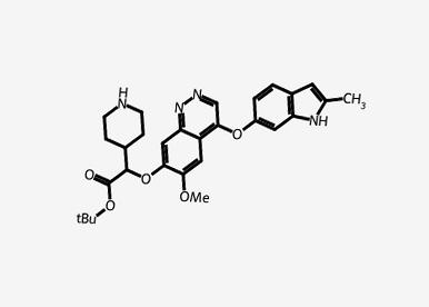 COc1cc2c(Oc3ccc4cc(C)[nH]c4c3)cnnc2cc1OC(C(=O)OC(C)(C)C)C1CCNCC1